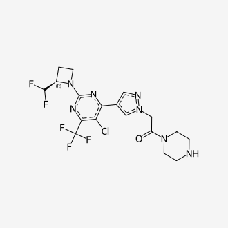 O=C(Cn1cc(-c2nc(N3CC[C@@H]3C(F)F)nc(C(F)(F)F)c2Cl)cn1)N1CCNCC1